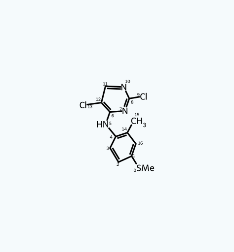 CSc1ccc(Nc2nc(Cl)ncc2Cl)c(C)c1